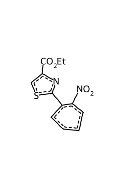 CCOC(=O)c1csc(-c2ccccc2[N+](=O)[O-])n1